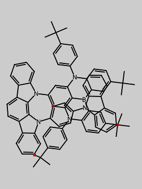 CC(C)(C)C1=CC2B3c4cc(C(C)(C)C)ccc4N(c4ccc(C(C)(C)C)cc4)c4cc(-n5c6ccccc6c6ccc7c8ccccc8n(-c8ccc(-n9c%10ccccc%10c%10ccccc%109)cc8)c7c65)cc(c43)N(c3ccc(C(C)(C)C)cc3)C2C=C1